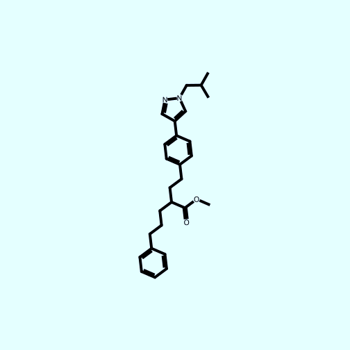 COC(=O)C(CCCc1ccccc1)CCc1ccc(-c2cnn(CC(C)C)c2)cc1